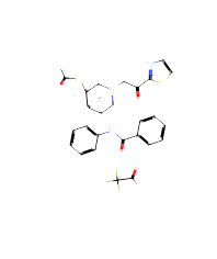 CC(=O)O[C@H]1C[N+]2(CC(=O)c3nccs3)CCC1CC2.O=C(Nc1ccccc1)c1ccccc1.O=C([O-])C(F)(F)F